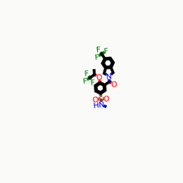 CNS(=O)(=O)c1ccc(OC(C)C(F)(F)F)c(C(=O)N2Cc3ccc(C(F)(F)F)cc3C2)c1